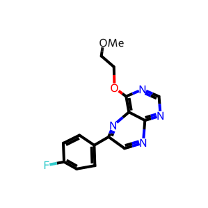 COCCOc1ncnc2ncc(-c3ccc(F)cc3)nc12